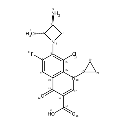 C[C@@H]1[C@@H](N)CN1c1c(F)cc2c(=O)c(C(=O)O)cn(C3CC3)c2c1Cl